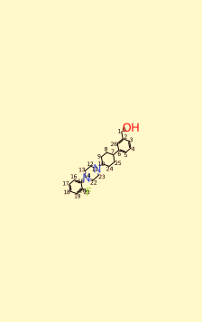 OCc1cccc(C2CCC(N3CCN(c4ccccc4F)CC3)CC2)c1